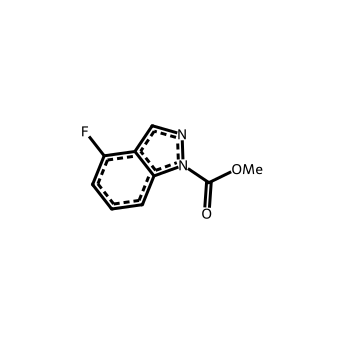 COC(=O)n1ncc2c(F)cccc21